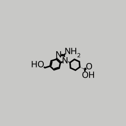 Nc1nc2cc(CO)ccc2n1[C@H]1CC[C@@H](C(=O)O)CC1